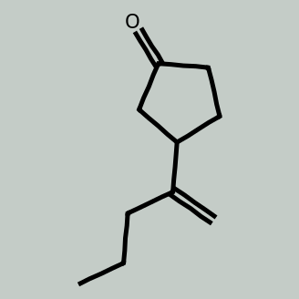 C=C(CCC)C1CCC(=O)C1